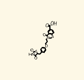 O=C1NC(=O)C(Cc2ccc(OCCCN3CSc4ccc(C(=O)O)cc4C3=O)cc2)S1